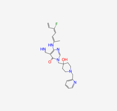 C=C/C(F)=C\C=C(/C)Nc1ncn(CC2(O)CCN(Cc3ccccn3)CC2)c(=O)c1C=N